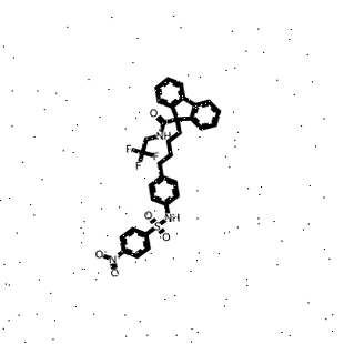 O=C(NCC(F)(F)F)C1(CCCCc2ccc(NS(=O)(=O)c3ccc([N+](=O)[O-])cc3)cc2)c2ccccc2-c2ccccc21